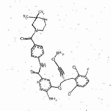 BOC#C[C@@H](Oc1cc(C(=O)Nc2ccc(C(=O)N3CCNC(C)(C)C3)cc2)nnc1N)c1c(Cl)ccc(F)c1Cl